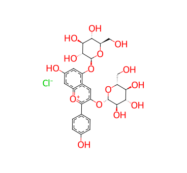 OC[C@H]1O[C@@H](Oc2cc3c(O[C@@H]4O[C@H](CO)[C@@H](O)[C@H](O)[C@H]4O)cc(O)cc3[o+]c2-c2ccc(O)cc2)[C@H](O)[C@@H](O)[C@@H]1O.[Cl-]